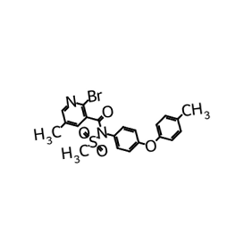 Cc1ccc(Oc2ccc(N(C(=O)c3cc(C)cnc3Br)S(C)(=O)=O)cc2)cc1